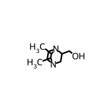 CC1C(C)N2CCN1CC2CO